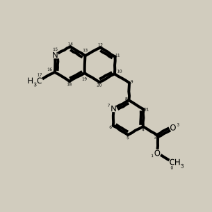 COC(=O)c1ccnc(Cc2ccc3cnc(C)cc3c2)c1